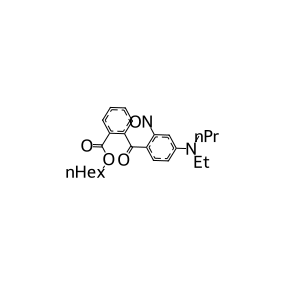 CCCCCCOC(=O)c1ccccc1C(=O)c1ccc(N(CC)CCC)cc1N=O